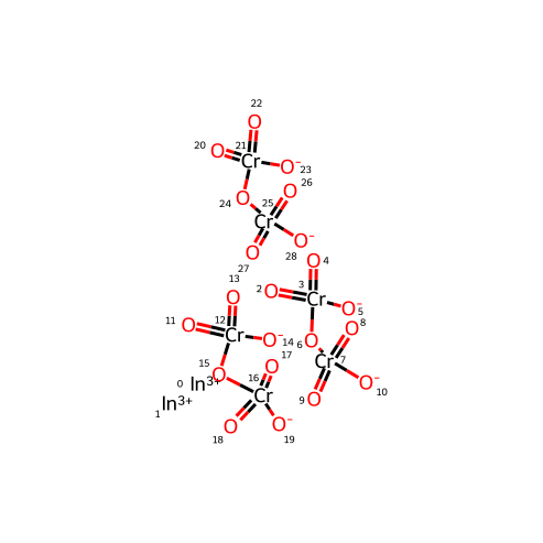 [In+3].[In+3].[O]=[Cr](=[O])([O-])[O][Cr](=[O])(=[O])[O-].[O]=[Cr](=[O])([O-])[O][Cr](=[O])(=[O])[O-].[O]=[Cr](=[O])([O-])[O][Cr](=[O])(=[O])[O-]